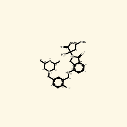 BC(CCC=O)(C(=O)NC)N1Cc2c(NCc3cc(CN4CC(C)OC(C)C4)ccc3F)cccc2C1=O